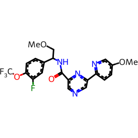 COCC(NC(=O)c1cncc(-c2ccc(OC)cn2)n1)c1ccc(OC(F)(F)F)c(F)c1